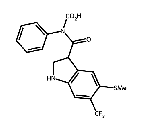 CSc1cc2c(cc1C(F)(F)F)NCC2C(=O)N(C(=O)O)c1ccccc1